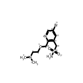 CN(C)CCOCc1ncc(Br)cc1CS(N)(=O)=O